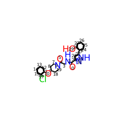 O=C(NCC(=O)N1CCC(Oc2ccccc2Cl)CC1)c1cc(-c2ccccc2O)[nH]n1